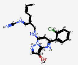 C\C=C/C=C(\C=N\C#N)CNc1cc(-c2ccccc2Cl)nc2c(Br)cnn12